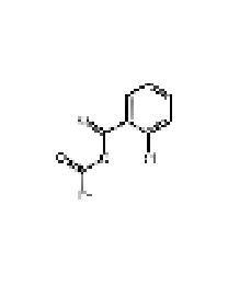 CCC(=O)OC(=O)c1ccccc1Cl